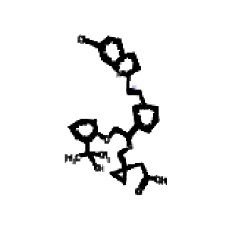 CC(C)(O)c1ccccc1OCC(SCC1(CC(=O)O)CC1)c1cccc(/C=C/c2ccc3ccc(Cl)cc3n2)c1